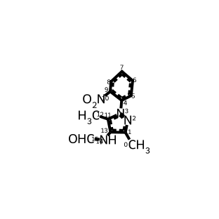 Cc1nn(-c2ccccc2[N+](=O)[O-])c(C)c1NC=O